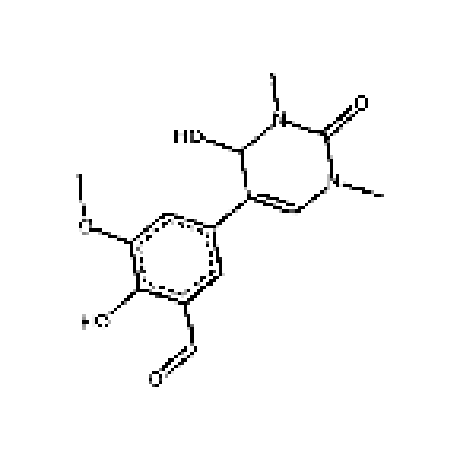 COc1cc(C2=CN(C)C(=O)N(C)C2O)cc(C=O)c1O